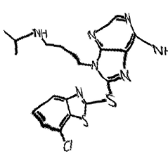 CC(C)NCCCn1c(Sc2nc3cccc(Cl)c3s2)nc2c(N)ncnc21